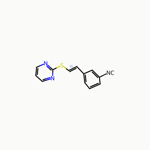 [C-]#[N+]c1cccc(/C=C/Sc2ncccn2)c1